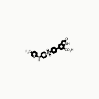 O=C1Cc2cc(-c3ccc(S(=O)(=O)N4CCC(Nc5ccc(C(F)(F)F)cn5)CC4)cc3)cc(C(=O)O)c2N1